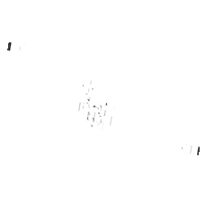 CCCCCCCCCCCCCCOC(=O)CC(C(=O)OCCCCCCCCCCCC)S(=O)(=O)O.[NaH].[NaH]